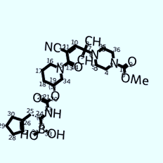 COC(=O)N1CCN(C(C)(C)C=C(C#N)C(=O)N2CCC[C@H](OC(=O)N[C@@H](CC3=CCCC3)B(O)O)C2)CC1